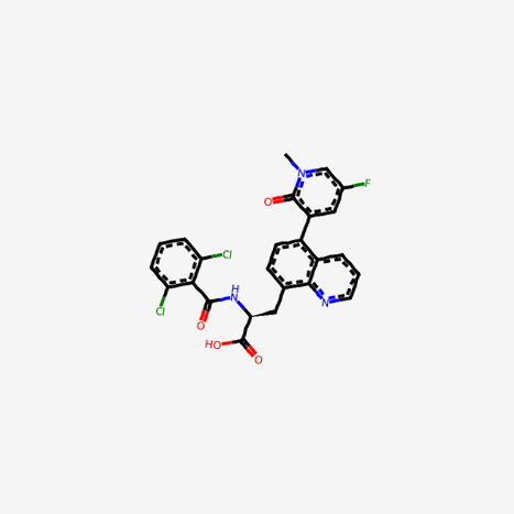 Cn1cc(F)cc(-c2ccc(C[C@H](NC(=O)c3c(Cl)cccc3Cl)C(=O)O)c3ncccc23)c1=O